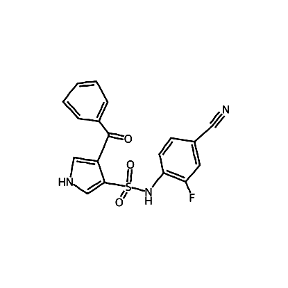 N#Cc1ccc(NS(=O)(=O)c2c[nH]cc2C(=O)c2ccccc2)c(F)c1